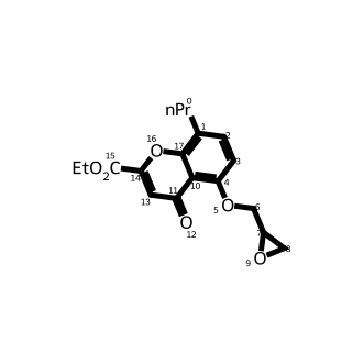 CCCc1ccc(OCC2CO2)c2c(=O)cc(C(=O)OCC)oc12